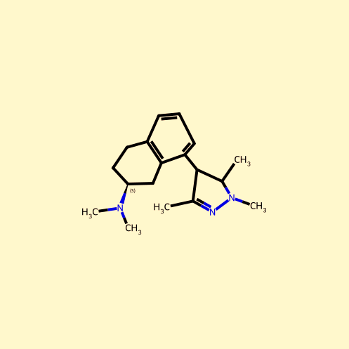 CC1=NN(C)C(C)C1c1cccc2c1C[C@@H](N(C)C)CC2